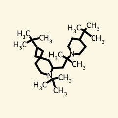 CC(C)(C)C1CCN(C(C)(C)CC2CC3(CCN2C(C)(C)C)CC(C(C)(C)C)C3)CC1